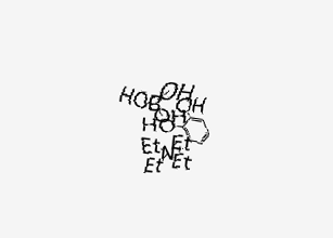 CC[N+](CC)(CC)CC.OB(O)O.Oc1ccccc1O